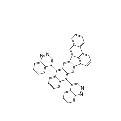 c1ccc2c(c1)cc1c3c(cccc32)-c2cc3c(-c4cnnc5ccccc45)c4ccccc4c(-c4cnnc5ccccc45)c3cc2-1